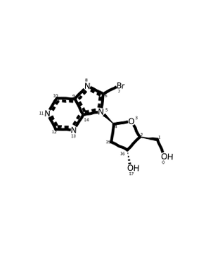 OC[C@@H]1O[C@H](n2c(Br)nc3cncnc32)C[C@H]1O